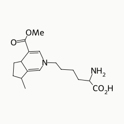 COC(=O)C1=CN(CCCCC(N)C(=O)O)C=C2C(C)CCC12